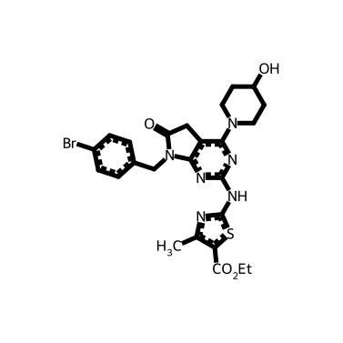 CCOC(=O)c1sc(Nc2nc(N3CCC(O)CC3)c3c(n2)N(Cc2ccc(Br)cc2)C(=O)C3)nc1C